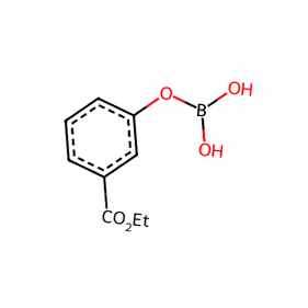 CCOC(=O)c1cccc(OB(O)O)c1